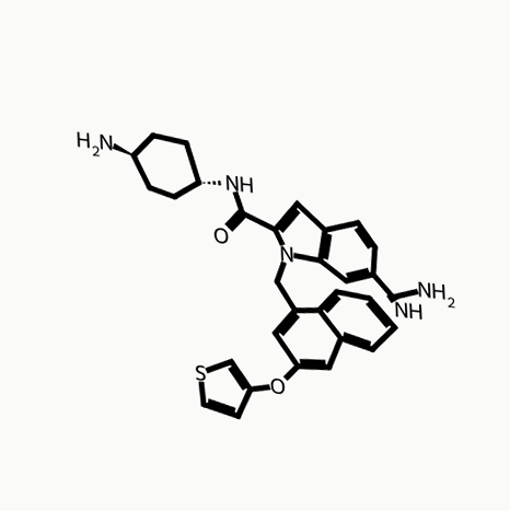 N=C(N)c1ccc2cc(C(=O)N[C@H]3CC[C@H](N)CC3)n(Cc3cc(Oc4ccsc4)cc4ccccc34)c2c1